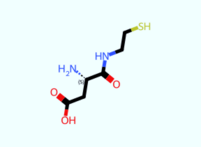 N[C@@H](CC(=O)O)C(=O)NCCS